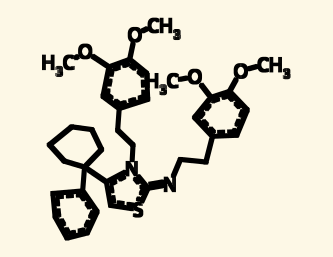 COc1ccc(CCN=c2scc(C3(c4ccccc4)CCCCC3)n2CCc2ccc(OC)c(OC)c2)cc1OC